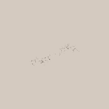 O=C(CSSCC(=O)c1ccc(NS(=O)(=O)c2ccc3c(c2)OCCO3)cn1)c1ccc(NS(=O)(=O)c2ccc3c(c2)OCCO3)cn1